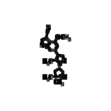 COc1cc(-c2cnn(C3CNC(C)(C)C3)c2C)cn2ncc(C#N)c12